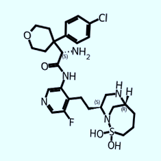 N[C@H](C(=O)Nc1cncc(F)c1CC[C@H]1CN[C@@H]2CCCS(O)(O)N1C2)C1(c2ccc(Cl)cc2)CCOCC1